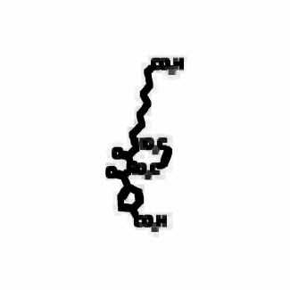 O=C(O)/C=C\C(=O)O.O=C(O)CCCCCCCCC(=O)OC(=O)c1ccc(C(=O)O)cc1